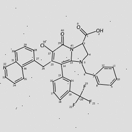 O=C(O)C1CN(Cc2ccccc2)c2c(-c3cccc(C(F)(F)F)c3)c(Cc3cccc4ncccc34)c(Cl)c(=O)n21